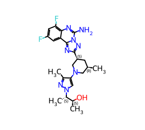 Cc1nn([C@@H](C)[C@H](C)O)cc1N1C[C@H](C)C[C@H](c2nc3c4cc(F)cc(F)c4nc(N)n3n2)C1